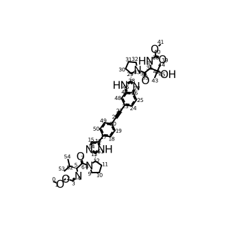 COO/C=N\[C@H](C(=O)N1CCC[C@H]1c1ncc(-c2ccc(C#Cc3ccc4nc([C@@H]5CCCN5C(=O)[C@@H](NC(=O)OC)C(C)(C)O)[nH]c4c3)cc2)[nH]1)C(C)C